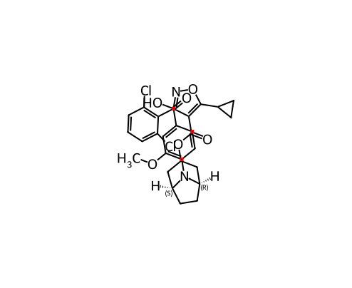 COc1cc(C(=O)O)ccc1N1[C@@H]2CC[C@H]1CC(OC(=O)c1c(-c3c(Cl)cccc3Cl)noc1C1CC1)C2